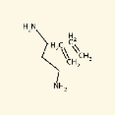 C=C.C=C.NCCCN